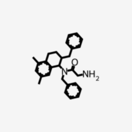 Cc1cc(C)c2c(c1)C(N(Cc1ccccc1)C(=O)CN)C(Cc1ccccc1)CC2